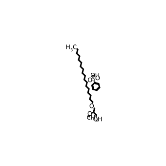 CCCCCCCCCCCCCCCCCCOCC(CO)OC.O=S(=O)(O)c1ccccc1